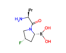 CC(C)[C@H](N)C(=O)N1C[C@@H](F)C[C@H]1B(O)O